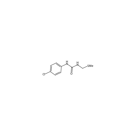 CSCNC(=O)Nc1ccc(Cl)cc1